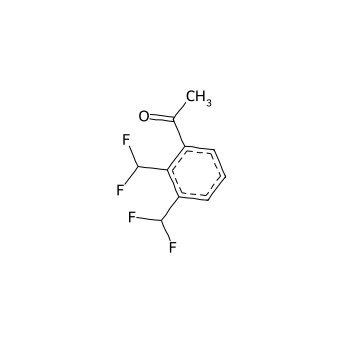 CC(=O)c1cccc(C(F)F)c1C(F)F